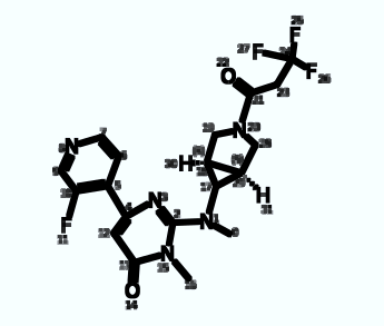 CN(c1nc(-c2ccncc2F)cc(=O)n1C)C1[C@H]2CN(C(=O)CC(F)(F)F)C[C@@H]12